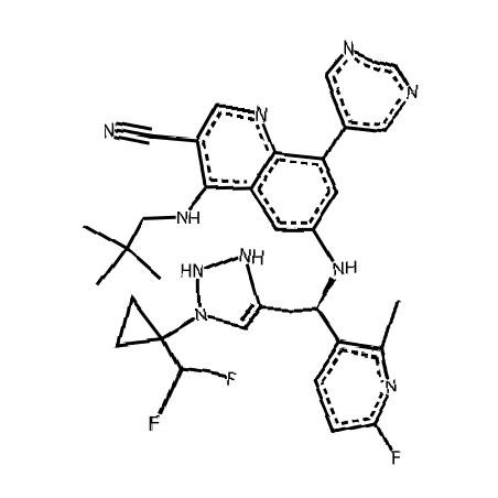 Cc1nc(F)ccc1[C@H](Nc1cc(-c2cncnc2)c2ncc(C#N)c(NCC(C)(C)C)c2c1)C1=CN(C2(C(F)F)CC2)NN1